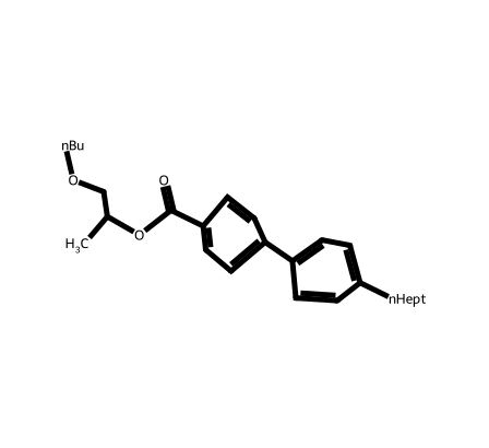 CCCCCCCc1ccc(-c2ccc(C(=O)OC(C)COCCCC)cc2)cc1